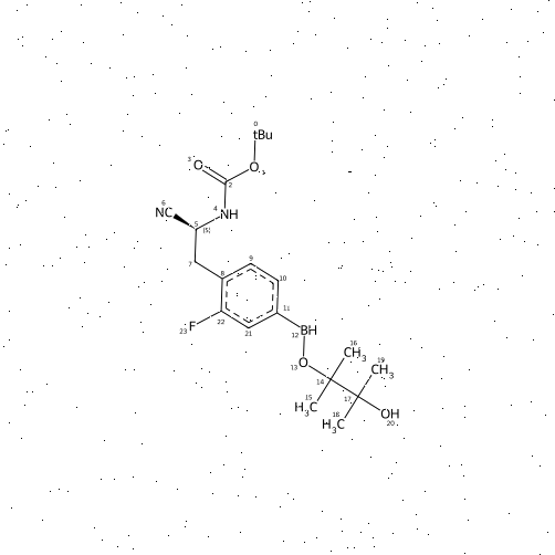 CC(C)(C)OC(=O)N[C@H](C#N)Cc1ccc(BOC(C)(C)C(C)(C)O)cc1F